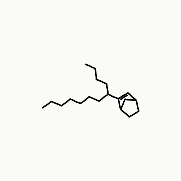 CCCCCCCC(CCCC)C1=CC2CCC1C2